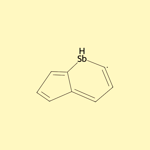 [C]1=CC=C2C=CC=[C]2[SbH]1